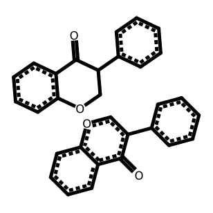 O=C1c2ccccc2OCC1c1ccccc1.O=c1c(-c2ccccc2)coc2ccccc12